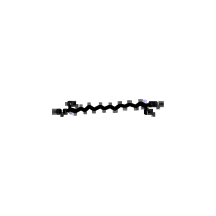 C/C(=C\CCCCCCCCCCCC/C=C(\C)C(=O)O)C(=O)O